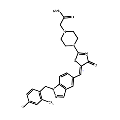 CNC(=O)CN1CCN(C2=NC(=O)/C(=C/c3ccc4c(cnn4Cc4ccc(Cl)cc4C(F)(F)F)c3)S2)CC1